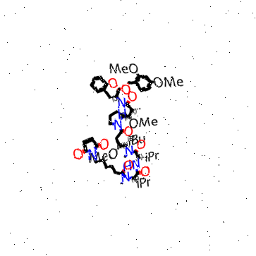 CC[C@H](C)[C@@H]([C@@H](CC(=O)N1CCC[C@H]1[C@H](OC)[C@@H](C)C(=O)N[C@@H](Cc1ccccc1)C(=O)OCc1ccc(OC)cc1OC)OC)N(C)C(=O)[C@@H](NC(=O)[C@H](C(C)C)N(C)C(=O)CCCCCN1C(=O)C=CC1=O)C(C)C